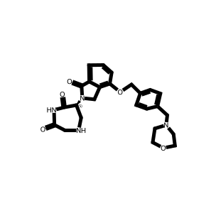 O=C1CNC[C@H](N2Cc3c(OCc4ccc(CN5CCOCC5)cc4)cccc3C2=O)C(=O)N1